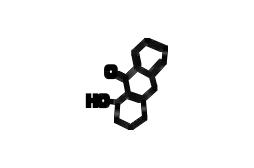 O=C1C2=C(CCCC2O)Cc2ccccc21